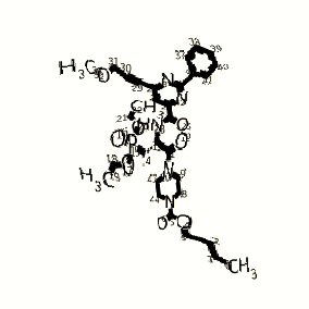 CCCCOC(=O)N1CCN(C(=O)[C@H](CP(=O)(OCC)OCC)NC(=O)c2cc(C#CCOC)nc(-c3ccccc3)n2)CC1